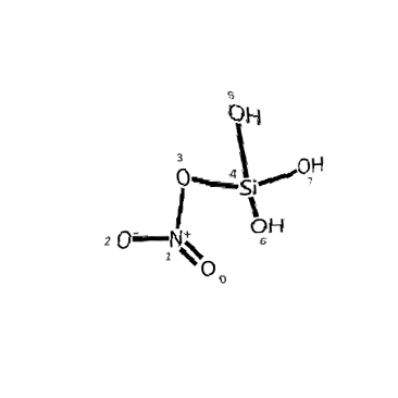 O=[N+]([O-])O[Si](O)(O)O